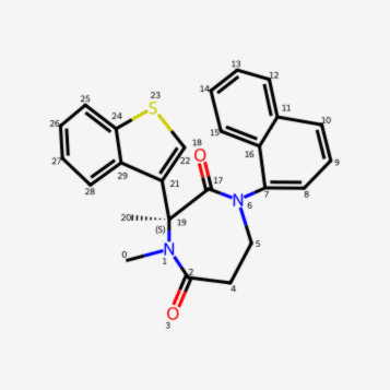 CN1C(=O)CCN(c2cccc3ccccc23)C(=O)[C@]1(C)c1csc2ccccc12